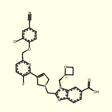 N#Cc1ccc(OCc2ccc(F)c(C3=CCN(Cc4nc5ccc(C(=O)O)cc5n4C[C@@H]4CCO4)C3)n2)c(Cl)c1